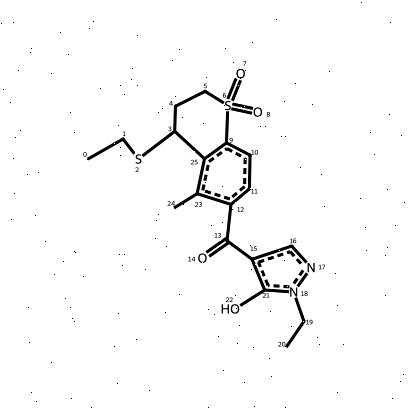 CCSC1CCS(=O)(=O)c2ccc(C(=O)c3cnn(CC)c3O)c(C)c21